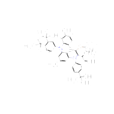 C=CC(=C)C1=C(SC(C)C)B2c3ccc(C)cc3N(c3ccc4c(c3)C(C)(C)CCC4(C)C)c3cc(C)cc(c32)N1c1ccc(C(C)(C)C)cc1